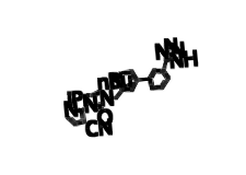 CCCCc1cn(-c2c(C#N)ccn2C(C)C)c(=O)n1Cc1cc(-c2cccc(-c3nnn[nH]3)c2)ccn1